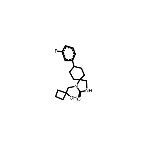 O=C1NCC2(CCC(c3cccc(F)c3)CC2)N1CC1(O)CCC1